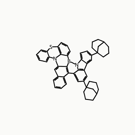 c1ccc2c(c1)Sc1cccc3c1N2c1cc2ccccc2c2c1B3n1c3ccc(C45CCCC(CCC4)C5)cc3c3cc(C45CCCC(CCC4)C5)cc-2c31